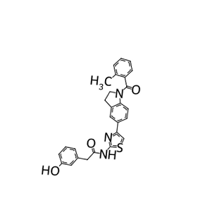 Cc1ccccc1C(=O)N1CCc2cc(-c3csc(NC(=O)Cc4cccc(O)c4)n3)ccc21